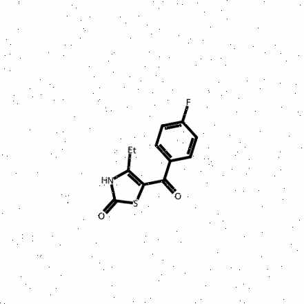 CCc1[nH]c(=O)sc1C(=O)c1ccc(F)cc1